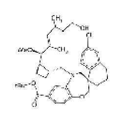 CO[C@@H](/C(C)=C/C(C)CCO)[C@@H]1CC[C@H]1CN1C[C@@]2(CCCc3cc(Cl)ccc32)COc2ccc(C(=O)OC(C)(C)C)cc21